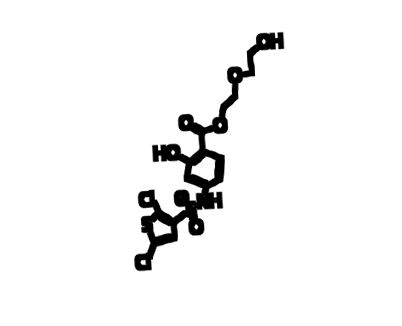 O=C(OCCOCCO)c1ccc(NS(=O)(=O)c2cc(Cl)sc2Cl)cc1O